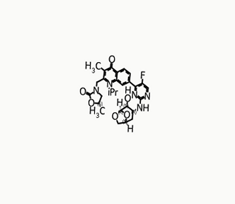 Cc1c(CN2C[C@H](C)OC2=O)n(C(C)C)c2cc(-c3nc(N[C@@H]4C[C@H]5CO[C@H](O5)[C@H]4O)ncc3F)ccc2c1=O